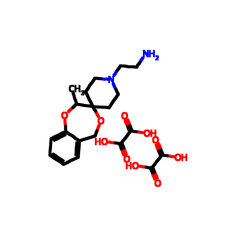 CC1Oc2ccccc2COC12CCN(CCN)CC2.O=C(O)C(=O)O.O=C(O)C(=O)O